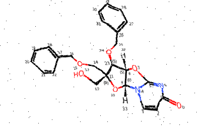 O=c1ccn2c(n1)O[C@@H]1[C@H]2O[C@](CO)(COCc2ccccc2)[C@H]1OCc1ccccc1